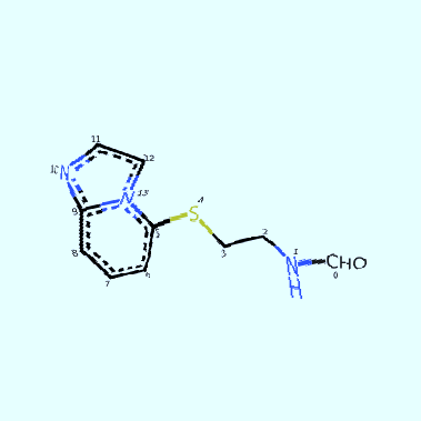 O=CNCCSc1cccc2nccn12